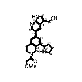 COCC(=O)N1CCc2cc(-c3cnc4[nH]cc(CC#N)c4c3)cc(C3CCCN3)c2C1